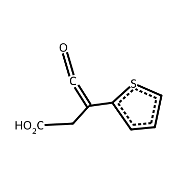 O=C=C(CC(=O)O)c1cccs1